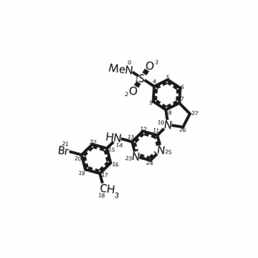 CNS(=O)(=O)c1ccc2c(c1)N(c1cc(Nc3cc(C)cc(Br)c3)ncn1)CC2